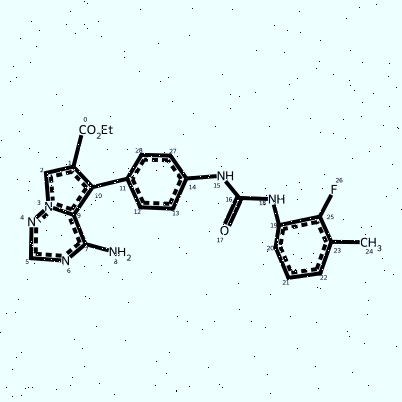 CCOC(=O)c1cn2ncnc(N)c2c1-c1ccc(NC(=O)Nc2cccc(C)c2F)cc1